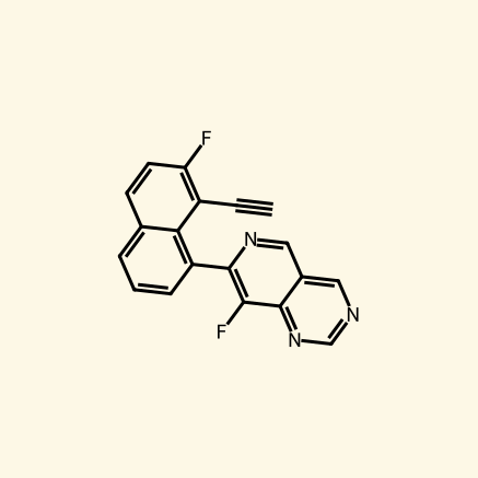 C#Cc1c(F)ccc2cccc(-c3ncc4cncnc4c3F)c12